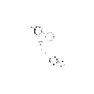 CS(=O)(=O)c1ccc(OCC[C@H]2C[C@@H]2C2CCCCN2c2ncc(Cl)cn2)nc1